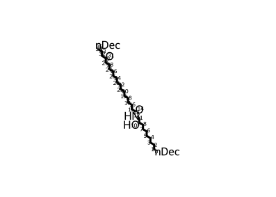 CCCCCCCCCCCCCCCCCCC(O)CNC(=O)CCCCCCCCCCCCCCCC(=O)CCCCCCCCCCCCC